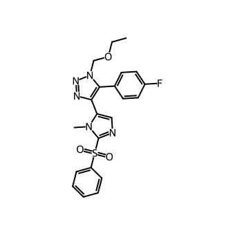 CCOCn1nnc(-c2cnc(S(=O)(=O)c3ccccc3)n2C)c1-c1ccc(F)cc1